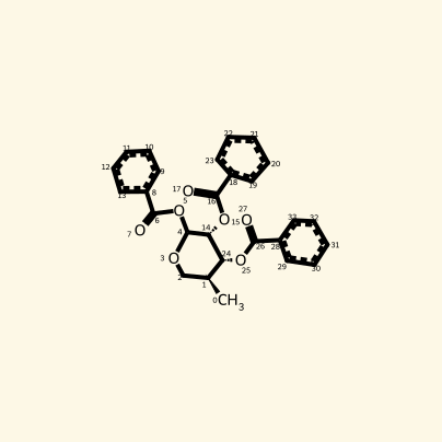 C[C@H]1COC(OC(=O)c2ccccc2)[C@H](OC(=O)c2ccccc2)[C@@H]1OC(=O)c1ccccc1